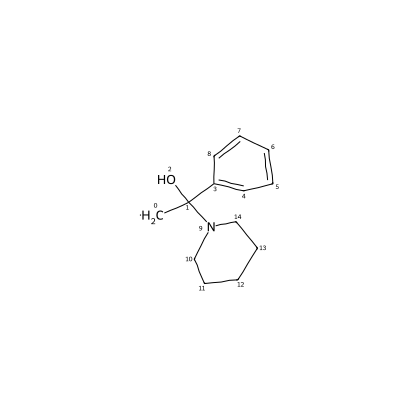 [CH2]C(O)(c1ccccc1)N1CCCCC1